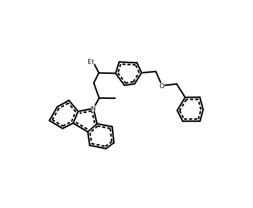 CCC(CC(C)n1c2ccccc2c2ccccc21)c1ccc(COCc2ccccc2)cc1